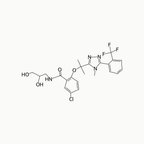 Cn1c(-c2ccccc2C(F)(F)F)nnc1C(C)(C)Oc1ccc(Cl)cc1C(=O)NCC(O)CO